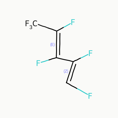 F/C=C(F)/C(F)=C(\F)C(F)(F)F